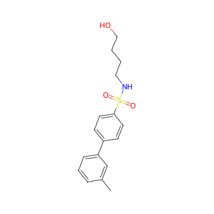 Cc1cccc(-c2ccc(S(=O)(=O)NCCCCO)cc2)c1